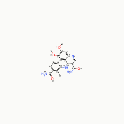 COc1cc2ncc(C(N)=O)c(Nc3cccc(C(N)=O)c3C)c2cc1OC